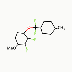 COC1CCC(OC(F)(F)C2CCC(C)CC2)C(F)C1F